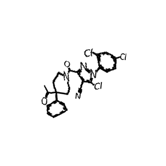 CC(=O)C1(c2ccccc2)CCN(C(=O)c2nn(-c3ccc(Cl)cc3Cl)c(Cl)c2C#N)CC1